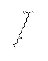 CN(C)CCCCCCCCNCCCN